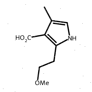 COCCc1[nH]cc(C)c1C(=O)O